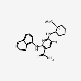 CN[C@H]1CCCCC1Nc1nc(Nc2cccc3cnccc23)c(C(N)=O)cc1F